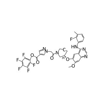 COc1cc2ncnc(Nc3cccc(C)c3F)c2cc1O[C@@H]1CCCN(C(=O)Cn2cc(C(=O)Oc3c(F)c(F)c(F)c(F)c3F)cn2)C1